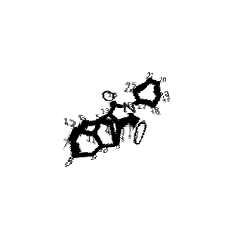 O=C1C2C3CC4(CC5=CCC3C4C5)C2C(=O)N1c1ccccc1